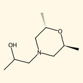 CC(O)CN1C[C@H](C)O[C@@H](C)C1